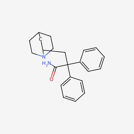 NC(=O)C(CC1CC2CCN1CC2)(c1ccccc1)c1ccccc1